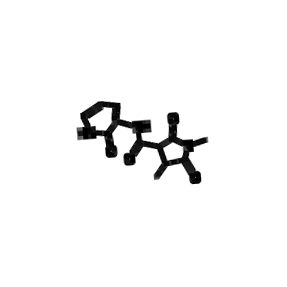 CC1C(=O)N(C)C(=O)C1C(=O)Nc1ccc[nH]c1=O